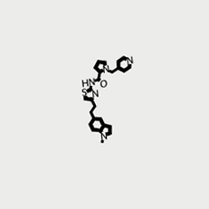 Cn1ccc2cc(CCc3csc(NC(=O)c4cccn4Cc4ccncc4)n3)ccc21